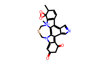 CC1C=CC2=C(C13OO3)[N+]1(C)CSCn3c4c(c5c6c(c2c1c53)C=NC=6)C(=O)CC(=O)C=4